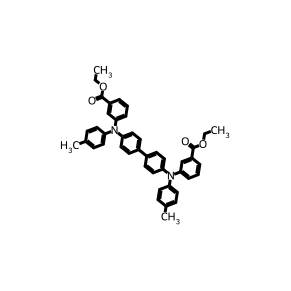 CCOC(=O)c1cccc(N(c2ccc(C)cc2)c2ccc(-c3ccc(N(c4ccc(C)cc4)c4cccc(C(=O)OCC)c4)cc3)cc2)c1